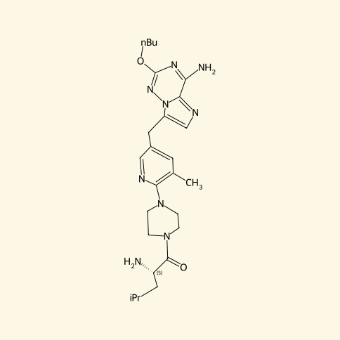 CCCCOc1nc(N)c2ncc(Cc3cnc(N4CCN(C(=O)[C@@H](N)CC(C)C)CC4)c(C)c3)n2n1